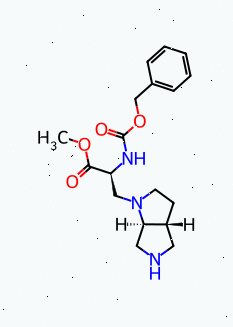 COC(=O)[C@H](CN1CC[C@@H]2CNC[C@H]21)NC(=O)OCc1ccccc1